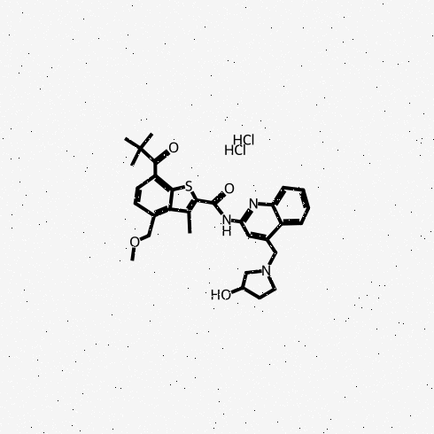 COCc1ccc(C(=O)C(C)(C)C)c2sc(C(=O)Nc3cc(CN4CCC(O)C4)c4ccccc4n3)c(C)c12.Cl.Cl